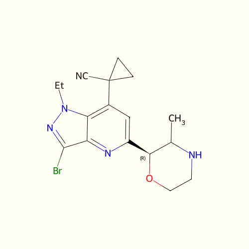 CCn1nc(Br)c2nc([C@@H]3OCCNC3C)cc(C3(C#N)CC3)c21